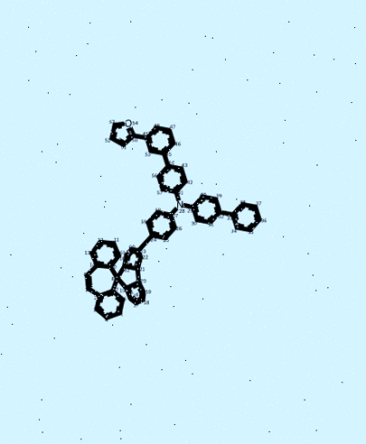 C1=Cc2ccccc2C2(c3ccccc31)c1ccccc1-c1cc(-c3ccc(N(c4ccc(-c5ccccc5)cc4)c4ccc(-c5cccc(-c6ccco6)c5)cc4)cc3)ccc12